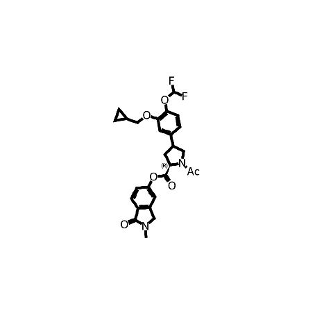 CC(=O)N1CC(c2ccc(OC(F)F)c(OCC3CC3)c2)C[C@@H]1C(=O)Oc1ccc2c(c1)CN(C)C2=O